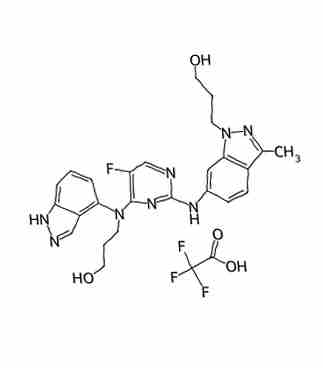 Cc1nn(CCCO)c2cc(Nc3ncc(F)c(N(CCCO)c4cccc5[nH]ncc45)n3)ccc12.O=C(O)C(F)(F)F